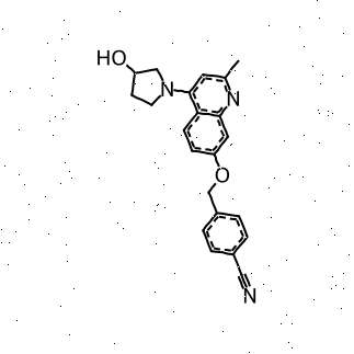 Cc1cc(N2CCC(O)C2)c2ccc(OCc3ccc(C#N)cc3)cc2n1